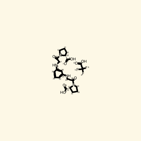 O=C(O)C(F)(F)F.O=C(O)[C@H]1CCCN1C(=O)CNc1cccc(NCC(=O)N2CCC[C@@H]2C(=O)O)c1